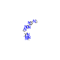 Cc1nc2nc(C)c(C[C@@H]3CCN(c4cnc(-c5ccc(CN6CCCC6)cn5)cn4)C3)c(C)n2n1